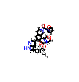 Cc1c[nH]c2ncc(-c3cc4c(c([C@@H]5COCCN5C(=O)OC(C)(C)C)c3)CN(C(=O)N3CC5CCC3CO5)CC4)cc12